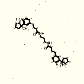 CC1(c2cc(CCCC(=O)NCCCNC(=O)CCCc3ccc(O)c(C4(C)CCCC4)c3)ccc2O)CCCC1